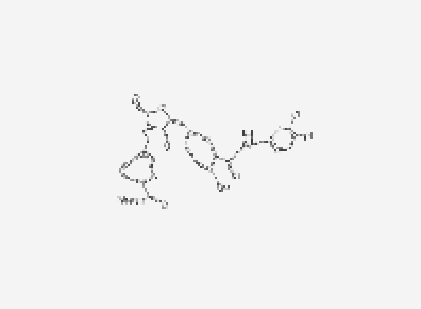 COC(=O)c1ccc(CN2C(=O)SC(=Cc3ccc(O)c(C(=O)Nc4ccc(Cl)c(Cl)c4)c3)C2=O)cc1